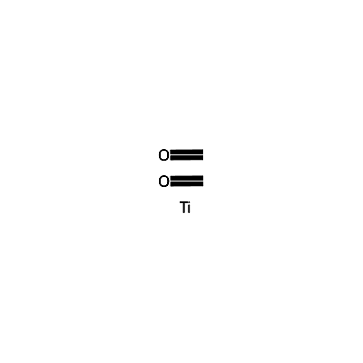 C=O.C=O.[Ti]